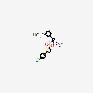 O=C(O)c1cccc(C2CC2(NS(=O)(=O)C2=CCC(c3ccc(Cl)cc3)S2)C(=O)O)c1